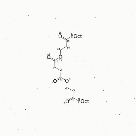 CCCCCCCCC(=O)CCOC(=O)CCC(=O)OCCC(=O)CCCCCCCC